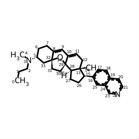 CCCN(C)[C@@H]1CCC2=CC3=CC[C@]4(C)[C@@H](c5ccc6ccncc6c5)CC[C@H]4[C@@]34CC[C@]2(C1)O4